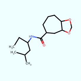 CCC(CC(C)C)NC(=O)C1CCCC2OCOC2C1